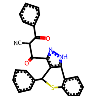 N#CC(C(=O)c1ccccc1)C(=O)c1n[nH]c2c1C(c1ccccc1)Sc1ccccc1-2